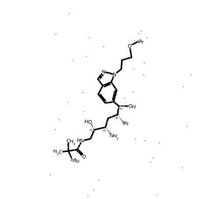 CCCCC(C)(C)C(=O)NC[C@H](O)[C@@H](N)C[C@@H](C(C)C)[C@H](O)c1ccc2cnn(CCCOC(C)C)c2c1